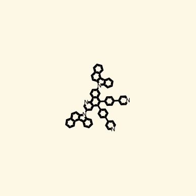 c1ccc2c(c1)ccc1c2c2ccccc2n1-c1ccc2c(c1)c(-c1ccc(-c3ccncc3)cc1)c(-c1ccc(-c3ccncc3)cc1)c1cc(-n3c4ccccc4c4c5ccccc5ccc43)cnc12